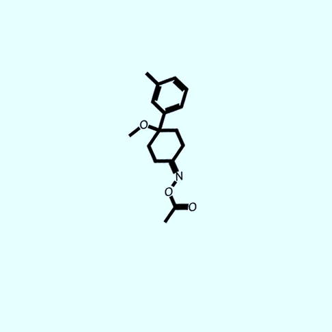 COC1(c2cccc(C)c2)CCC(=NOC(C)=O)CC1